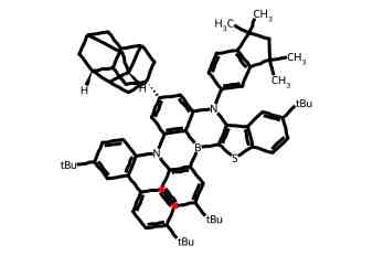 CC(C)(C)c1ccc(-c2cc(C(C)(C)C)ccc2N2c3ccc(C(C)(C)C)cc3B3c4sc5ccc(C(C)(C)C)cc5c4N(c4ccc5c(c4)C(C)(C)CC5(C)C)c4cc([C@]56CC7C8CC9C[C@H]7C(C5)[C@H](C9)C8C6)cc2c43)cc1